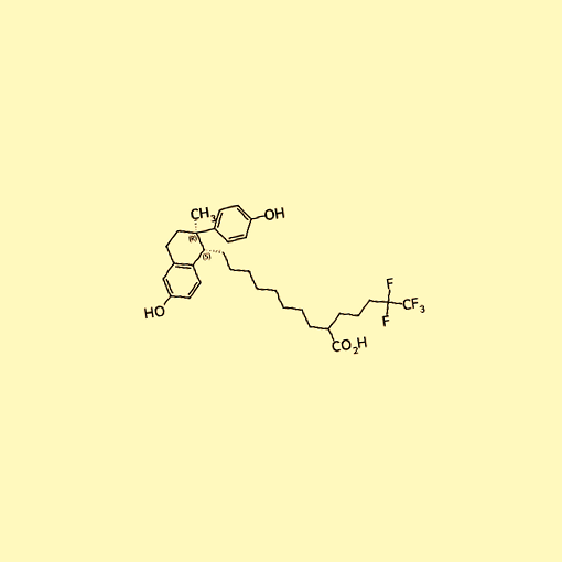 C[C@@]1(c2ccc(O)cc2)CCc2cc(O)ccc2[C@H]1CCCCCCCCC(CCCC(F)(F)C(F)(F)F)C(=O)O